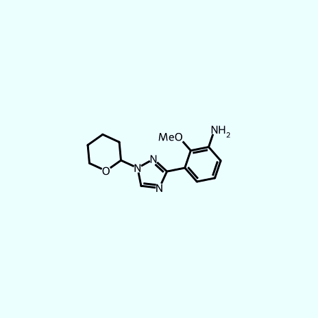 COc1c(N)cccc1-c1ncn(C2CCCCO2)n1